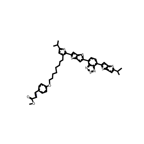 COC(=O)/C=C/c1ccc(OCCCCCCCCc2cc(C(C)C)sc2-c2cc3sc(-c4ccc(-c5cc6sc(C(C)C)cc6s5)c5nsnc45)cc3s2)cc1